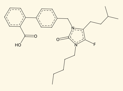 CCCCCn1c(F)c(CCC(C)C)n(Cc2ccc(-c3ccccc3C(=O)O)cc2)c1=O